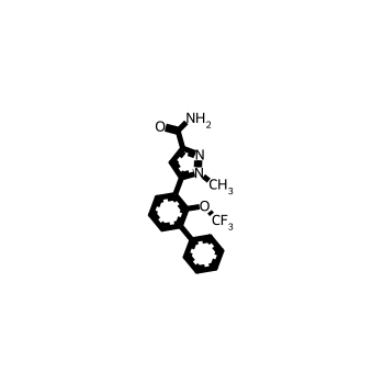 Cn1nc(C(N)=O)cc1-c1cccc(-c2ccccc2)c1OC(F)(F)F